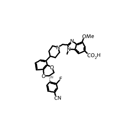 COc1cc(C(=O)O)cc2c1nc(CN1CCC(c3cccc4c3OC[C@H](c3ccc(C#N)cc3F)O4)CC1)n2C